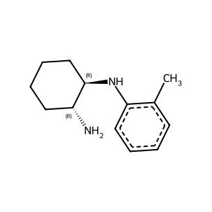 Cc1ccccc1N[C@@H]1CCCC[C@H]1N